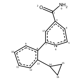 NC(=O)c1ccnc(-c2ccccc2C2CC2)c1